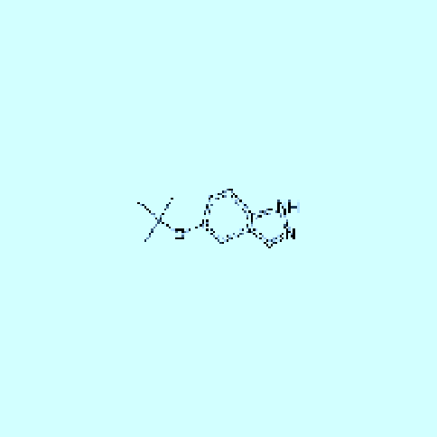 CC(C)(C)Oc1ccc2[nH]ncc2c1